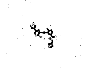 Cc1ccc(C(=O)NCc2ccsc2)cc1C#Cc1cc(-c2cnn(C)c2)cnc1N